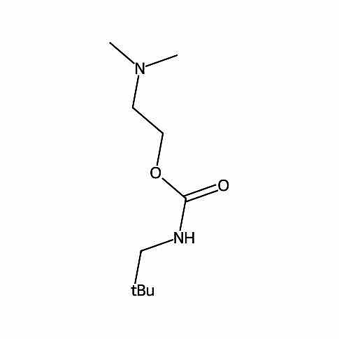 CN(C)CCOC(=O)NCC(C)(C)C